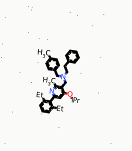 CCc1cccc(CC)c1-c1cc(OC(C)C)c(CN(CCc2ccccc2)Cc2ccc(C)cc2)c(C)n1